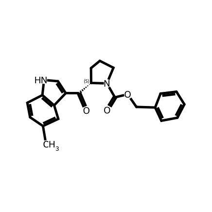 Cc1ccc2[nH]cc(C(=O)[C@@H]3CCCN3C(=O)OCc3ccccc3)c2c1